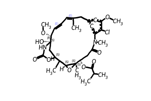 COc1cc2cc(c1Cl)N(C)C(=O)C[C@H](OC(=O)C(C)C)[C@]1(C)O[C@H]1C(C)[C@@H]1C[C@@](O)(NC(=O)O1)[C@H](OC)/C=C/C=C(\C)C2